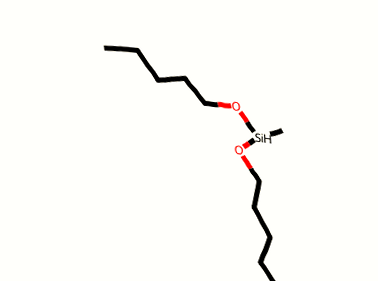 CCCCCO[SiH](C)OCCCCC